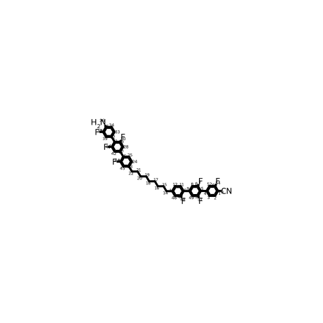 N#Cc1ccc(-c2c(F)cc(-c3ccc(CCCCCCCCCc4ccc(-c5cc(F)c(-c6ccc(N)c(F)c6)c(F)c5)c(F)c4)cc3F)cc2F)cc1F